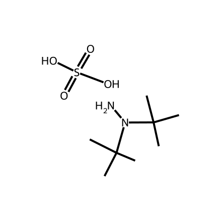 CC(C)(C)N(N)C(C)(C)C.O=S(=O)(O)O